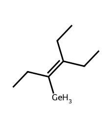 CC[C]([GeH3])=C(CC)CC